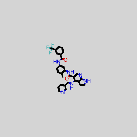 Cc1ccc(NC(=O)c2cccc(C(F)(F)F)c2)cc1NC(=O)c1cnc2[nH]ccc2c1NCc1cccnc1